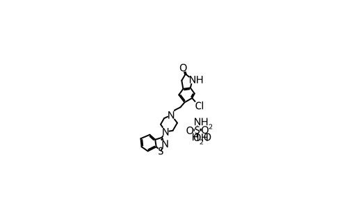 NS(=O)(=O)O.O.O=C1Cc2cc(CCN3CCN(c4nsc5ccccc45)CC3)c(Cl)cc2N1